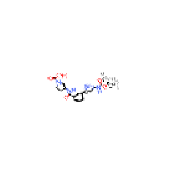 CC(C)(C)OC(=O)NCC[C@@H](N)c1cccc(C(=O)NC2CCN(C(=O)O)C2)c1